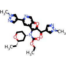 CCOC(=O)N(c1c(C(=O)c2cnn(C)c2)oc2cnc(-c3cnn(C)c3)cc12)[C@H]1CCO[C@@H](CC)C1